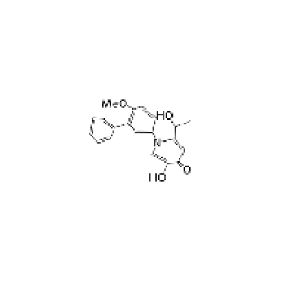 COc1ccc(-n2cc(O)c(=O)cc2C(C)O)cc1-c1ccccc1